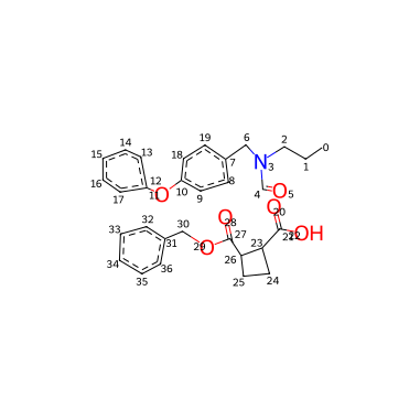 CCCN(C=O)Cc1ccc(Oc2ccccc2)cc1.O=C(O)C1CCC1C(=O)OCc1ccccc1